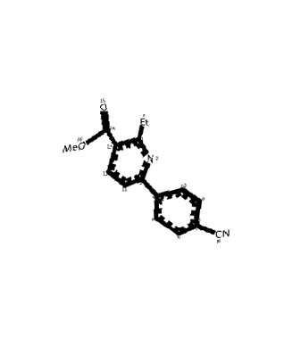 CCc1nc(-c2ccc(C#N)cc2)ccc1C(=O)OC